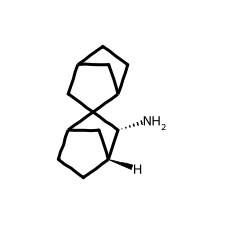 N[C@@H]1[C@@H]2CCC(C2)C12CC1CCC2C1